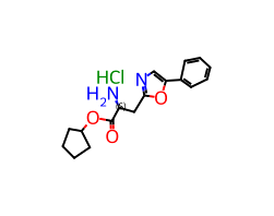 Cl.N[C@@H](Cc1ncc(-c2ccccc2)o1)C(=O)OC1CCCC1